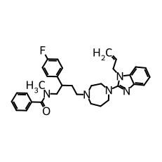 C=CCn1c(N2CCCN(CCC(CN(C)C(=O)c3ccccc3)c3ccc(F)cc3)CC2)nc2ccccc21